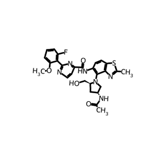 COc1cccc(F)c1-c1nccc(C(=O)Nc2ccc3sc(C)nc3c2N2C[C@H](NC(C)=O)C[C@H]2CO)n1